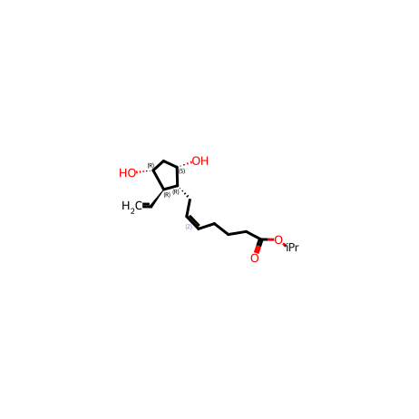 C=C[C@@H]1[C@@H](C/C=C\CCCC(=O)OC(C)C)[C@@H](O)C[C@H]1O